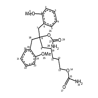 COc1ccccc1CC(CCCCCOC(N)=O)(Cc1ccccc1OC)OC(N)=O